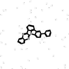 c1ccc(-c2ccc3c(c2)c2cccc4c5nc6ccccc6nc5n3c24)cc1